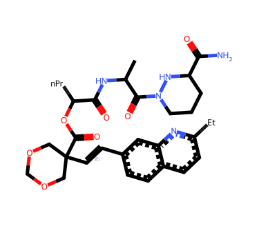 CCCC(OC(=O)C1(/C=C/c2ccc3ccc(CC)nc3c2)COCOC1)C(=O)NC(C)C(=O)N1CCCC(C(N)=O)N1